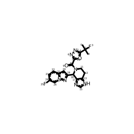 CC(C)(F)c1nnc(C(=O)N2CCc3[nH]cnc3C2c2cc3ccc(F)cn3n2)o1